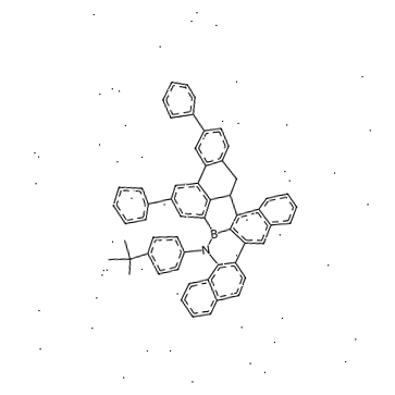 CC(C)(C)c1ccc(N2B3c4cc(-c5ccccc5)cc5c4C(Cc4ccc(-c6ccccc6)cc4-5)c4c3c(cc3ccccc43)-c3ccc4ccccc4c32)cc1